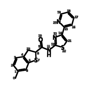 Cc1ccc2c(c1)SC(C(=O)Nc1nc(-c3ccccn3)cs1)C2